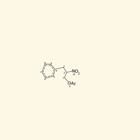 CC(=O)OCC(Cc1ccccc1)[N+](=O)[O-]